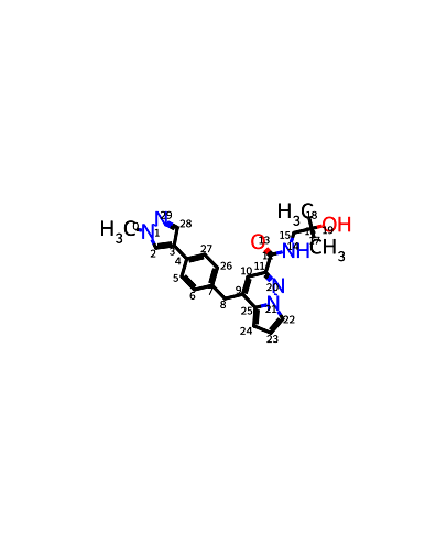 Cn1cc(-c2ccc(Cc3cc(C(=O)NCC(C)(C)O)nn4cccc34)cc2)cn1